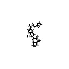 CN(Cc1ccco1)C(=O)c1ccc2[nH]c(-c3nc4cscc4[nH]c3=O)cc2c1